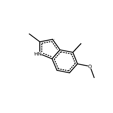 COc1ccc2[nH]c(C)[c]c2c1C